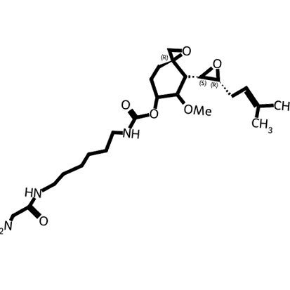 COC1C(OC(=O)NCCCCCCNC(=O)CN)CC[C@]2(CO2)C1[C@@H]1O[C@@H]1CC=C(C)C